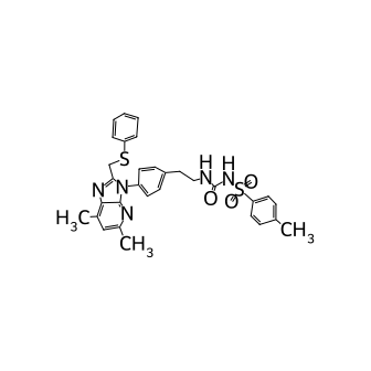 Cc1ccc(S(=O)(=O)NC(=O)NCCc2ccc(-n3c(CSc4ccccc4)nc4c(C)cc(C)nc43)cc2)cc1